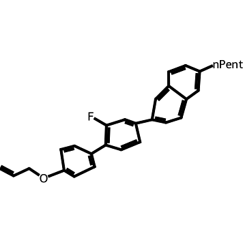 C=CCOc1ccc(-c2ccc(-c3ccc4cc(CCCCC)ccc4c3)cc2F)cc1